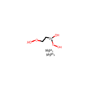 OOC[CH2][Zn]([OH])[O]O.[MgH2].[MgH2]